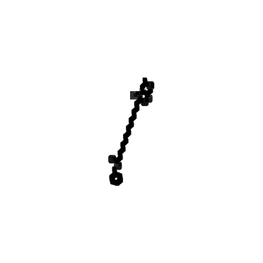 CC(=O)C[C@H](NC(=O)CCCCCCCCCCCCCCC(=O)OCc1ccccc1)C(C)=O